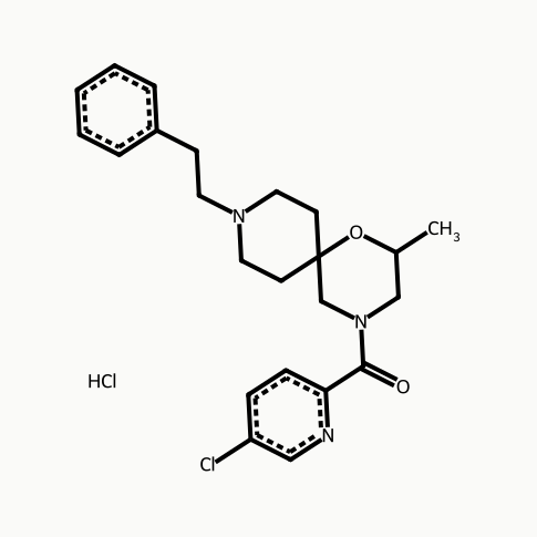 CC1CN(C(=O)c2ccc(Cl)cn2)CC2(CCN(CCc3ccccc3)CC2)O1.Cl